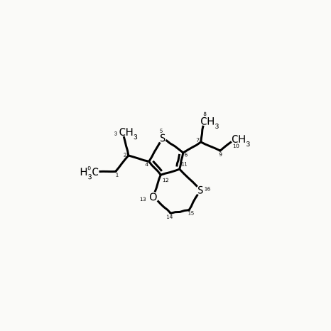 CCC(C)c1sc(C(C)CC)c2c1OCCS2